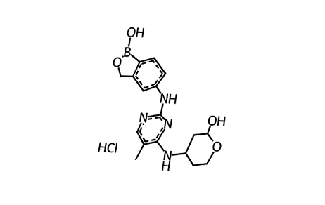 Cc1cnc(Nc2ccc3c(c2)COB3O)nc1NC1CCOC(O)C1.Cl